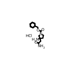 Cl.NC(=O)CC1(N)CCN(C(=O)OCc2ccccc2)C1